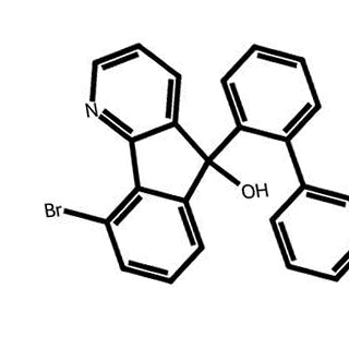 OC1(c2ccccc2-c2ccccc2)c2cccnc2-c2c(Br)cccc21